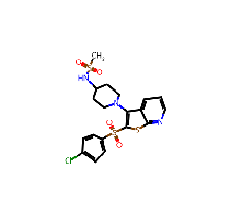 CS(=O)(=O)NC1CCN(c2c(S(=O)(=O)c3ccc(Cl)cc3)sc3ncccc23)CC1